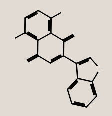 O=C1C=C(c2c[nH]c3ccccc23)C(=O)c2c(O)ccc(O)c21